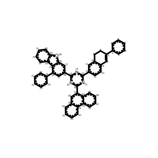 C1=C(c2ccccc2)CCc2cc(-c3nc(-c4cc(-c5ccccc5)c5c(c4)oc4ccccc45)nc(-c4cc5ccccc5c5ccccc45)n3)ccc21